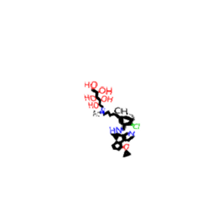 CC(=O)N(CCCC(C)c1ccc(Cl)c(CNC2(c3cnccc3-c3ccccc3OC3CC3)CC2)c1)C[C@H](O)[C@@H](O)[C@H](O)[C@H](O)CO